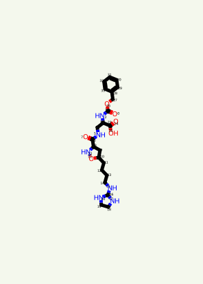 O=C(NC(CNC(=O)C1CC(CCCCNC2NCCN2)ON1)C(=O)O)OCc1ccccc1